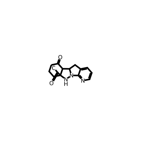 O=C1C2CCC3(NN4c5ncccc5CC4C13)C(=O)C2